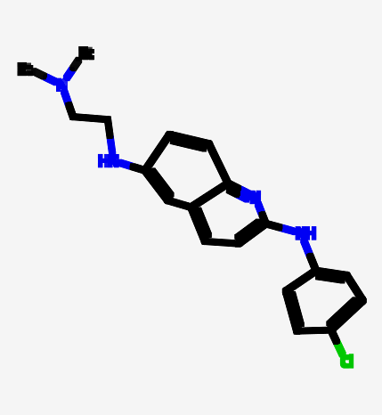 CCN(CC)CCNc1ccc2nc(Nc3ccc(Cl)cc3)ccc2c1